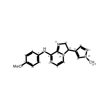 COc1ccc(NC2=NC=CN3C2=NCC3c2cnn(C)c2)cc1